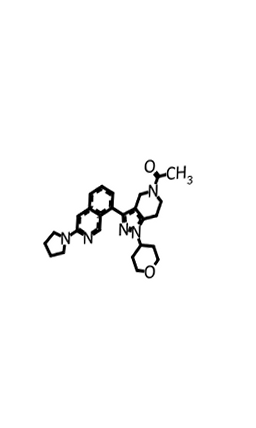 CC(=O)N1CCc2c(c(-c3cccc4cc(N5CCCC5)ncc34)nn2C2CCOCC2)C1